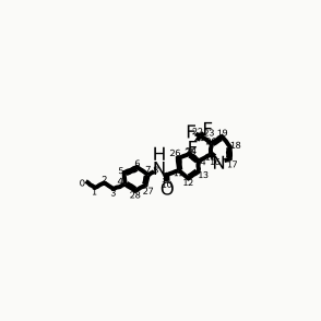 CCCCc1ccc(NC(=O)c2ccc(-c3ncccc3C(F)(F)F)cc2)cc1